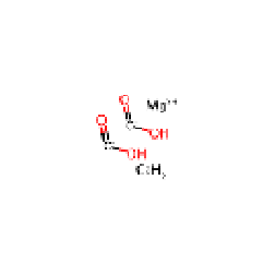 O=[C-]O.O=[C-]O.[CaH2].[Mg+2]